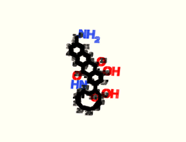 NCc1ccc2cc3c(cc2c1)C(=O)c1c(O)cc2c(c1C3=O)N[C@H]1C#C/C=C\C#C[C@@H](O)[C@@]23OC13